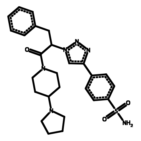 NS(=O)(=O)c1ccc(-c2cn(C(Cc3ccccc3)C(=O)N3CCC(N4CCCC4)CC3)nn2)cc1